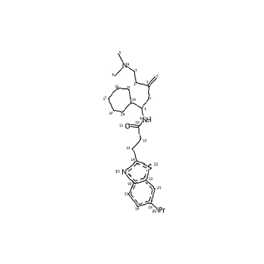 C=C(CCN(C)C)CC(NC(=O)CCc1nc2ccc(C(C)C)cc2s1)C1CCCCC1